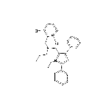 CCCCN(Cc1c(Cl)cccc1Cl)Cc1c(-c2ccccc2)nc(-c2ccccc2)n1CC